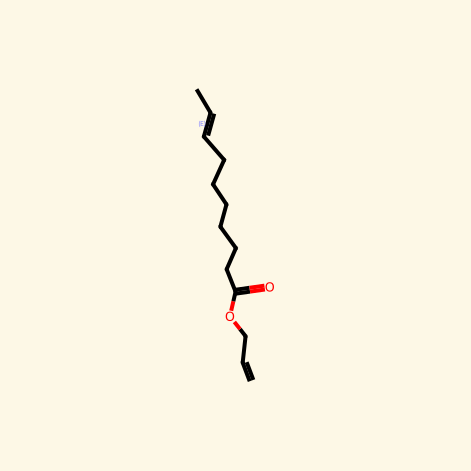 C=CCOC(=O)CCCCCC/C=C/C